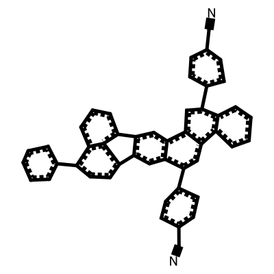 N#Cc1ccc(-c2cc3c4cc5c(cc4c(-c4ccc(C#N)cc4)cc3c3ccccc23)-c2ccc(-c3ccccc3)c3cccc-5c23)cc1